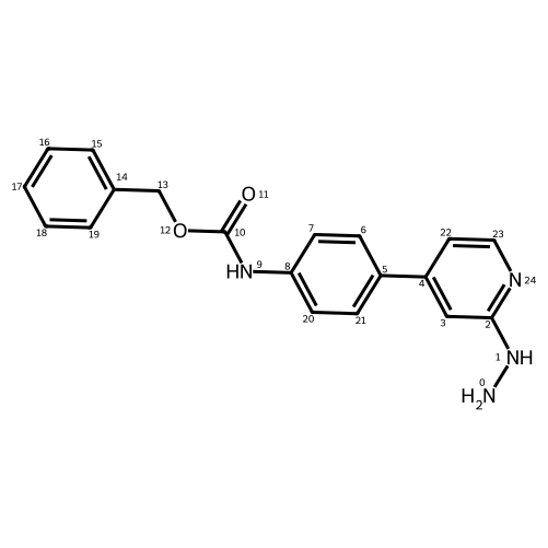 NNc1cc(-c2ccc(NC(=O)OCc3ccccc3)cc2)ccn1